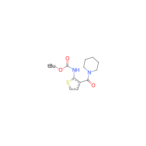 CC(C)(C)OC(=O)Nc1sccc1C(=O)N1CCCCC1